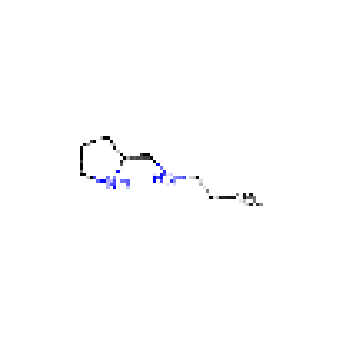 CC(C)(C)CCNC[C@@H]1CCCN1